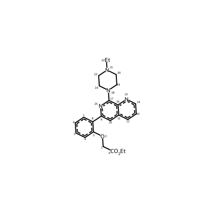 CCOC(=O)COc1ccccc1-c1cc2cccnc2c(N2CCN(CC)CC2)n1